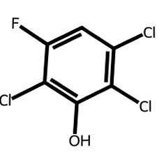 Oc1c(Cl)c(F)cc(Cl)c1Cl